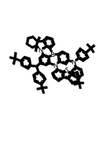 CC(C)(C)c1ccc(C(c2ccc(C(C)(C)C)cc2)c2cc3c4c(c2)N2c5c(cccc5C5(C)CCCCC25C)B4c2ccc(N(c4ccc(C(C)(C)C)cc4)c4ccc(C(C)(C)C)cc4)cc2N3c2cccc3c2sc2ccccc23)cc1